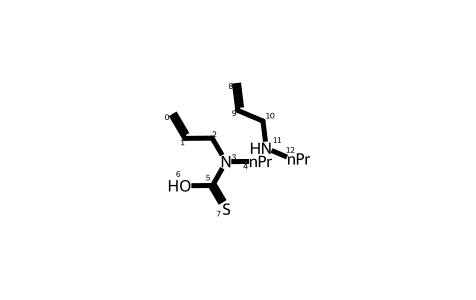 C=CCN(CCC)C(O)=S.C=CCNCCC